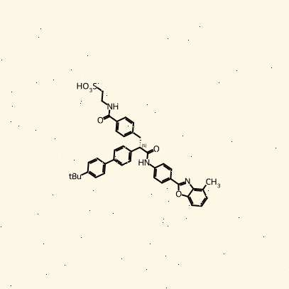 Cc1cccc2oc(-c3ccc(NC(=O)[C@@H](Cc4ccc(C(=O)NCCS(=O)(=O)O)cc4)c4ccc(-c5ccc(C(C)(C)C)cc5)cc4)cc3)nc12